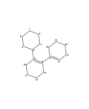 C1=C(C2=C(C3CCCCC3)CCCC2)CCCC1